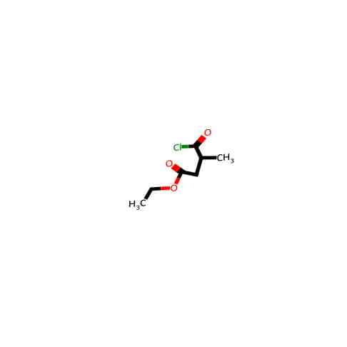 CCOC(=O)CC(C)C(=O)Cl